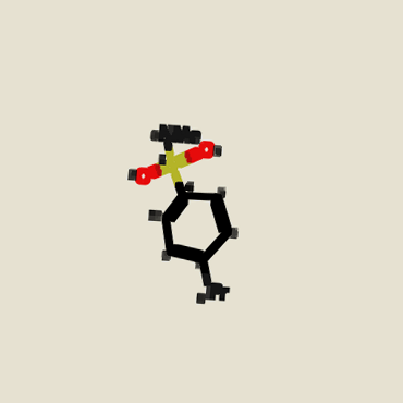 CNS(=O)(=O)c1ccc(C(C)C)cc1